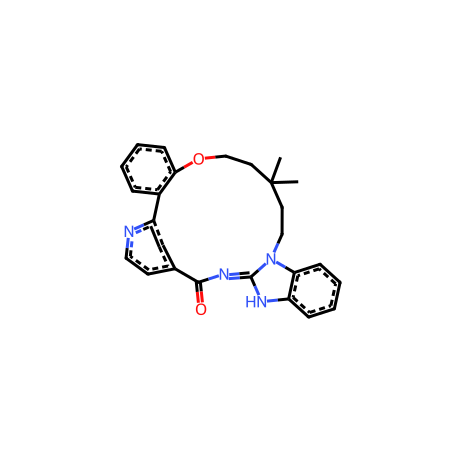 CC1(C)CCOc2ccccc2-c2cc(ccn2)C(=O)/N=C2\Nc3ccccc3N2CC1